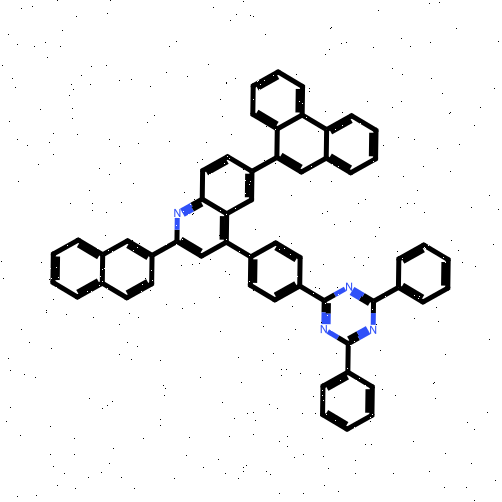 c1ccc(-c2nc(-c3ccccc3)nc(-c3ccc(-c4cc(-c5ccc6ccccc6c5)nc5ccc(-c6cc7ccccc7c7ccccc67)cc45)cc3)n2)cc1